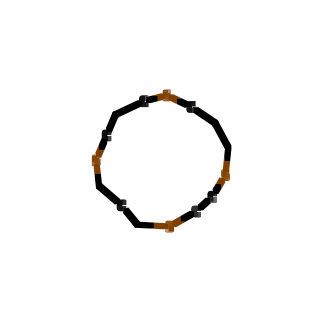 C1CSCCCSCCSCCCSC1